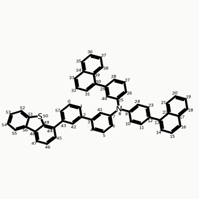 c1cc(-c2cccc(N(c3ccc(-c4cccc5ccccc45)cc3)c3cccc(-c4cccc5ccccc45)c3)c2)cc(-c2cccc3c2sc2ccccc23)c1